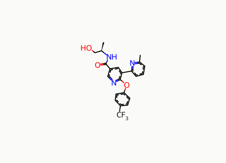 Cc1cccc(-c2cc(C(=O)N[C@H](C)CO)cnc2Oc2ccc(C(F)(F)F)cc2)n1